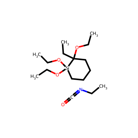 CCN=C=O.CCOC1(CC)CCCC[Si]1(OCC)OCC